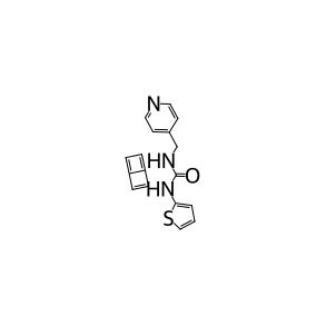 O=C(NCc1ccncc1)Nc1cccs1.c1cc2ccc1-2